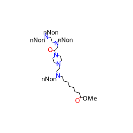 CCCCCCCCCN(CCCCCCCC(=O)OC)CCN1CCN(C(=O)CN(CCCCCCCCC)CCN(CCCCCCCCC)CCCCCCCCC)CC1